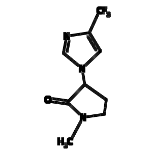 CN1CCC(n2cnc(C(F)(F)F)c2)C1=O